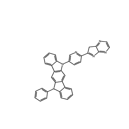 c1ccc(-n2c3ccccc3c3cc4c(cc32)c2ccccc2n4-c2ccc(C3=Nc4nccnc4C3)nc2)cc1